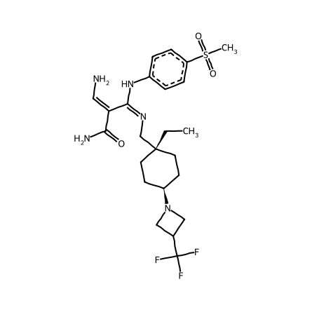 CC[C@]1(C/N=C(Nc2ccc(S(C)(=O)=O)cc2)\C(=C/N)C(N)=O)CC[C@H](N2CC(C(F)(F)F)C2)CC1